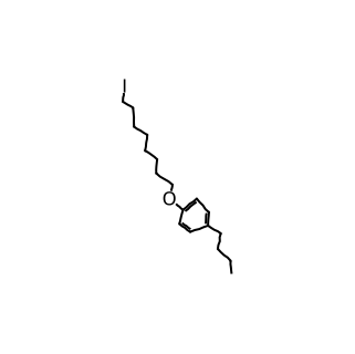 CCCCc1ccc(OCCCCCCCCI)cc1